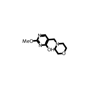 COc1ncc(CN2CCOCC2)c(O)n1